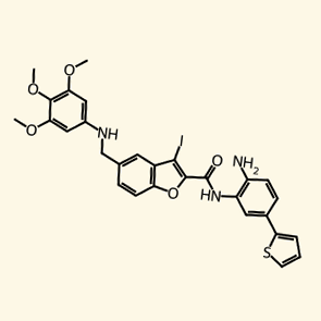 COc1cc(NCc2ccc3oc(C(=O)Nc4cc(-c5cccs5)ccc4N)c(I)c3c2)cc(OC)c1OC